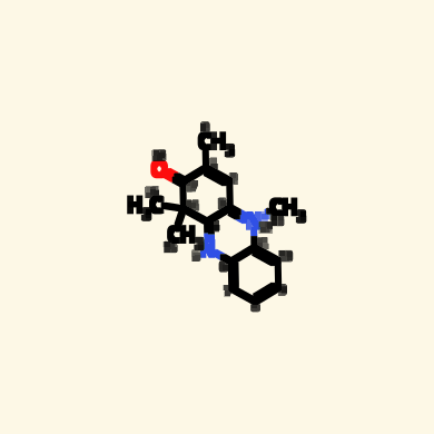 CC1=Cc2c(nc3ccccc3[n+]2C)C(C)(C)C1=O